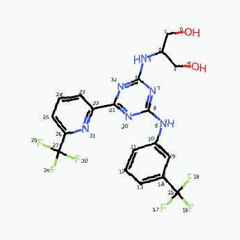 OCC(CO)Nc1nc(Nc2cccc(C(F)(F)F)c2)nc(-c2cccc(C(F)(F)F)n2)n1